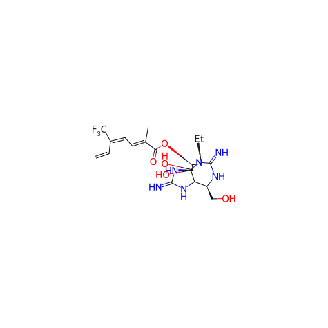 C=C/C(=C\C=C(/C)C(=O)O[C@H]1[C@H](CC)N2C(=N)N[C@@H](CO)C3NC(=N)N[C@@]32C1(O)O)C(F)(F)F